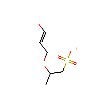 CC(CS(=O)(=O)O)OCC=CO